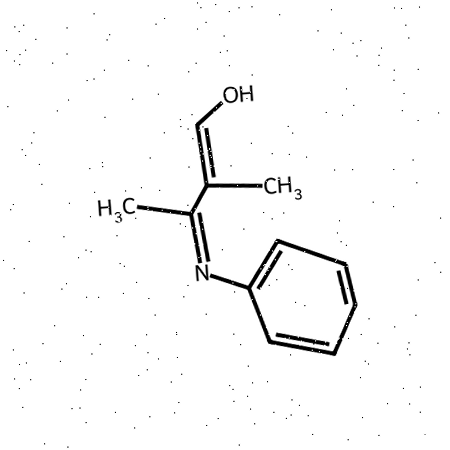 CC(=Nc1ccccc1)/C(C)=C/O